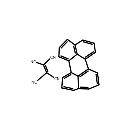 N#CC(C#N)=C(C#N)C#N.c1cc2cccc3c4cccc5cccc(c(c1)c23)c54